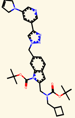 CC(C)(C)OC(=O)N(Cc1cc2ccc(Cn3cc(-c4cncc(N5CC=CC5)c4)nn3)cc2n1C(=O)OC(C)(C)C)CC1CCC1